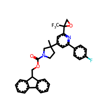 CC1(c2cc(-c3ccc(F)cc3)nc(C3(C(F)(F)F)CO3)c2)CCN(C(=O)OCC2c3ccccc3-c3ccccc32)C1